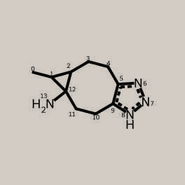 CC1C2CCc3nn[nH]c3CCC12N